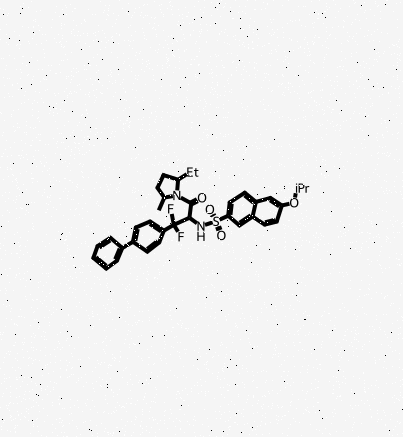 CCC1CCC(C)N1C(=O)C(NS(=O)(=O)c1ccc2cc(OC(C)C)ccc2c1)C(F)(F)c1ccc(-c2ccccc2)cc1